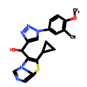 N#Cc1cc(-n2cc(C(O)c3c(C4CC4)sc4cncn34)nn2)ccc1OC(F)(F)F